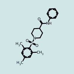 Cc1cc(C)c(S(=O)(=O)N2CCC(C(=O)Nc3ccccc3)CC2)c(C)c1